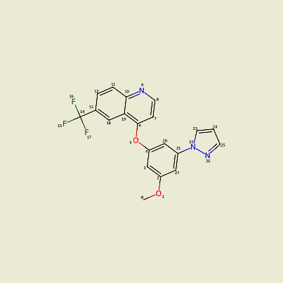 COc1cc(Oc2ccnc3ccc(C(F)(F)F)cc23)cc(-n2cccn2)c1